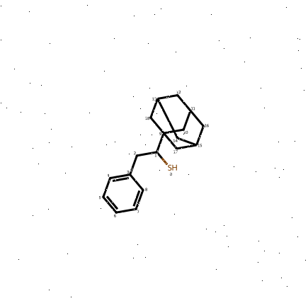 SC(Cc1ccccc1)C12CC3CC(CC(C3)C1)C2